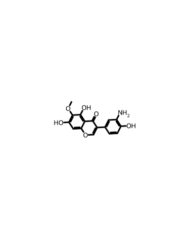 COc1c(O)cc2occ(-c3ccc(O)c(N)c3)c(=O)c2c1O